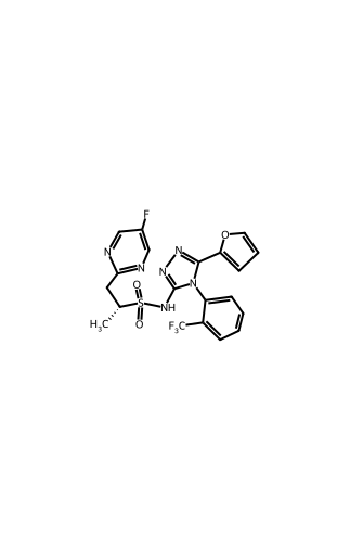 C[C@H](Cc1ncc(F)cn1)S(=O)(=O)Nc1nnc(-c2ccco2)n1-c1ccccc1C(F)(F)F